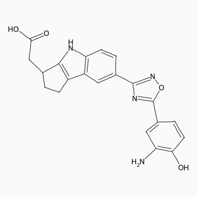 Nc1cc(-c2nc(-c3ccc4[nH]c5c(c4c3)CCC5CC(=O)O)no2)ccc1O